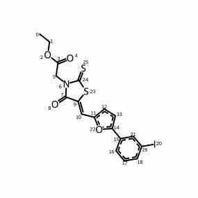 CCOC(=O)CN1C(=O)C(=Cc2ccc(-c3cccc(I)c3)o2)SC1=S